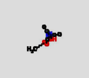 CCCCCCCCOC(=O)c1ccc(-c2nc(-c3ccc(-c4ccccc4)cc3)nc(-c3ccc(-c4ccccc4)cc3)n2)c(O)c1